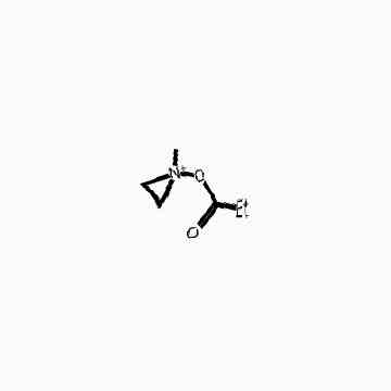 CCC(=O)O[N+]1(C)CC1